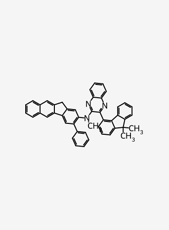 CN(c1cc2c(cc1-c1ccccc1)-c1cc3ccccc3cc1C2)c1nc2ccccc2nc1-c1cccc2c1-c1ccccc1C2(C)C